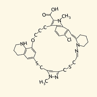 Cn1nc2cc1CSc1cc3c(c(c1)OCCCc1c(C(=O)O)n(C)c4c(c(Cl)ccc14)/C=C1\CCCCN1/N=C/CSC2)NCCC3